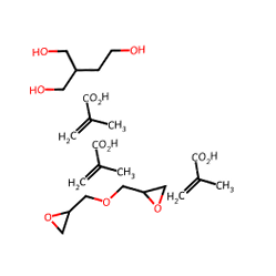 C(OCC1CO1)C1CO1.C=C(C)C(=O)O.C=C(C)C(=O)O.C=C(C)C(=O)O.OCCC(CO)CO